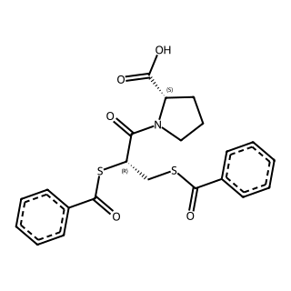 O=C(SC[C@H](SC(=O)c1ccccc1)C(=O)N1CCC[C@H]1C(=O)O)c1ccccc1